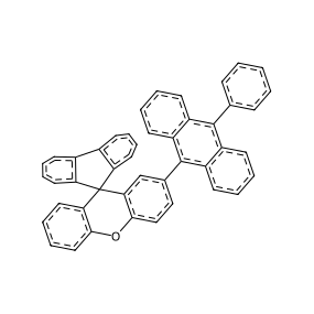 c1ccc(-c2c3ccccc3c(-c3ccc4c(c3)C3(c5ccccc5O4)c4ccccc4-c4ccccc43)c3ccccc23)cc1